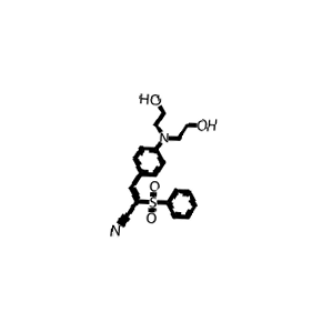 N#C/C(=C/c1ccc(N(CCO)CCO)cc1)S(=O)(=O)c1ccccc1